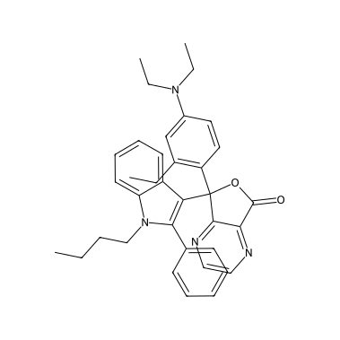 CCCCn1c(-c2ccccc2)c(C2(c3ccc(N(CC)CC)cc3CC)OC(=O)c3nccnc32)c2ccccc21